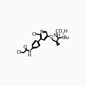 CC(C)(C)C(NC(=O)O)C1(COc2cnc(Cl)c(-c3ccc(NC(=O)CCl)cc3)c2)CC1